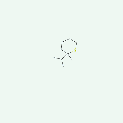 CC(C)C1(C)CCCCS1